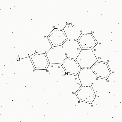 Nc1ccc(-c2cc(Cl)ccc2-c2nc(-c3ccccc3)nc(-c3ccccc3-c3ccccc3)n2)cc1